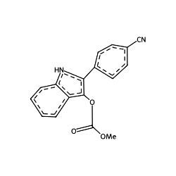 COC(=O)Oc1c(-c2ccc(C#N)cc2)[nH]c2ccccc12